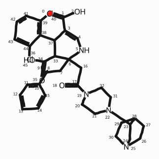 O=C(O)C1=CNC(CC(=O)c2ccccc2)(CC(=O)N2CCN(C3CN4CCC3CC4)CC2)C(C(=O)O)C1c1c(Cl)cccc1Cl